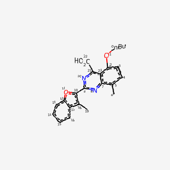 CCCCOc1ccc(C)c2nc(-c3oc4ccccc4c3C)nc(C(=O)O)c12